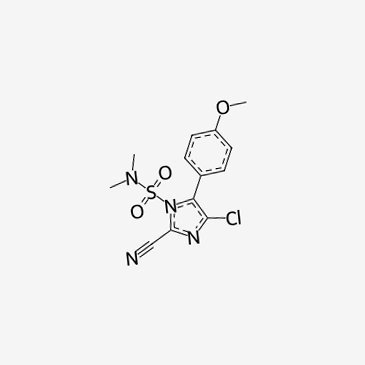 COc1ccc(-c2c(Cl)nc(C#N)n2S(=O)(=O)N(C)C)cc1